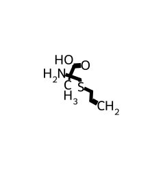 C=CCSC[C@](C)(N)C(=O)O